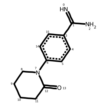 N=C(N)c1ccc(N2CCC[CH]C2=O)cc1